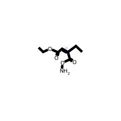 CCOC(=O)/C=C(/CC)C(=O)ON